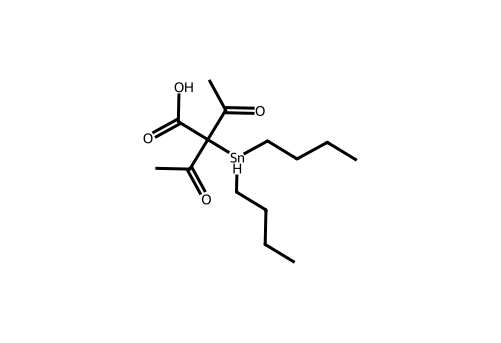 CCC[CH2][SnH]([CH2]CCC)[C](C(C)=O)(C(C)=O)C(=O)O